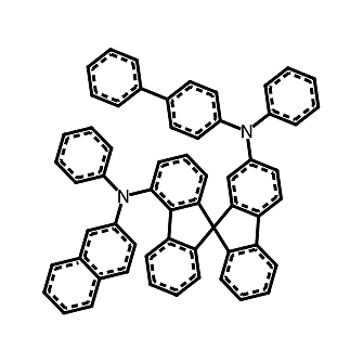 c1ccc(-c2ccc(N(c3ccccc3)c3ccc4c(c3)C3(c5ccccc5-4)c4ccccc4-c4c(N(c5ccccc5)c5ccc6ccccc6c5)cccc43)cc2)cc1